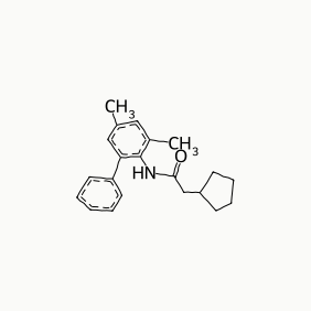 Cc1cc(C)c(NC(=O)CC2CCCC2)c(-c2ccccc2)c1